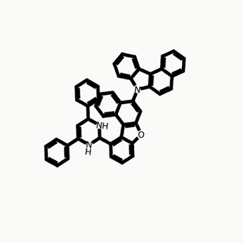 C1=C(c2ccccc2)NC(c2cccc3oc4cc(-n5c6ccccc6c6c7ccccc7ccc65)c5ccccc5c4c23)NC1c1ccccc1